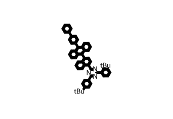 CC(C)(C)c1ccc(-c2nc(-c3ccccc3C(C)(C)C)nc(-c3ccc(-c4c5ccccc5c(-c5ccc(-c6ccccc6)cc5)c5ccccc45)c4ccccc34)n2)cc1